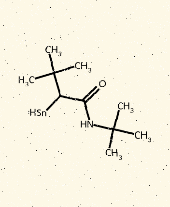 CC(C)(C)NC(=O)[CH]([SnH])C(C)(C)C